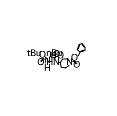 CCCCC(NC(=O)OC(C)(C)C)C(=O)NC1CCCN(C(=O)OCc2ccccc2)CC1O